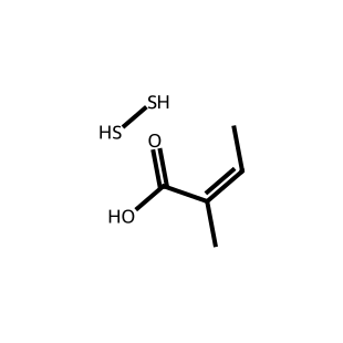 CC=C(C)C(=O)O.SS